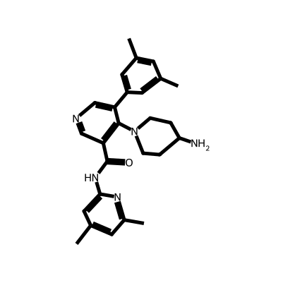 Cc1cc(C)cc(-c2cncc(C(=O)Nc3cc(C)cc(C)n3)c2N2CCC(N)CC2)c1